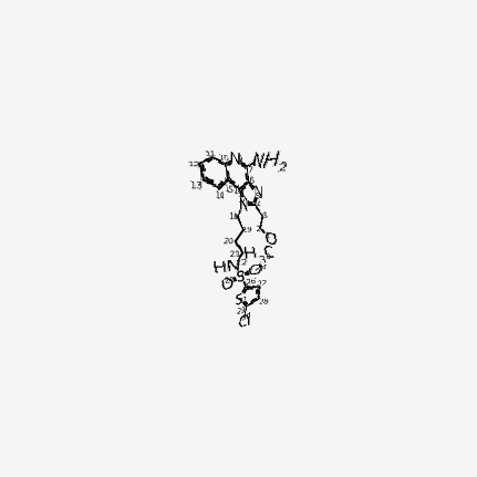 COCCc1nc2c(N)nc3ccccc3c2n1CCCCNS(=O)(=O)c1ccc(Cl)s1